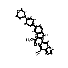 Cc1cc(-c2[nH]c3ccc(C4CCC(N5CCOCC5)CC4)cc3c2C(C)C)cn2ncnc12